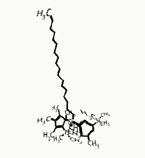 CCCCCCCCCCCCCCCCCC[Si](C)(c1cc(C)cc([Si](C)(C)C)c1)C1(C)C(C)=C(C)C(C)=[C]1[Ti]([CH3])([CH3])[CH3]